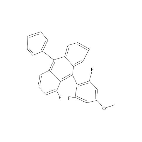 COc1cc(F)c(-c2c3ccccc3c(-c3ccccc3)c3cccc(F)c23)c(F)c1